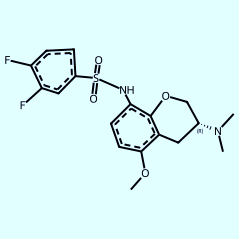 COc1ccc(NS(=O)(=O)c2ccc(F)c(F)c2)c2c1C[C@@H](N(C)C)CO2